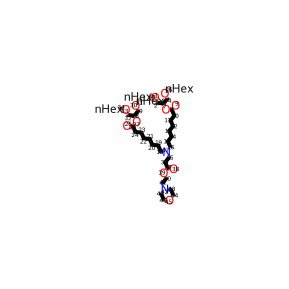 CCCCCCOCC(COCCCCCC)OC(=O)CCCCCCCN(CCCCCCCC(=O)OC(COCCCCCC)COCCCCCC)CCC(=O)OCCN1CCOCC1